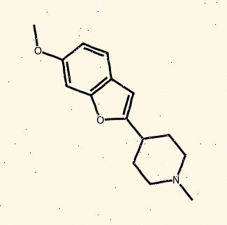 COc1ccc2cc(C3CCN(C)CC3)oc2c1